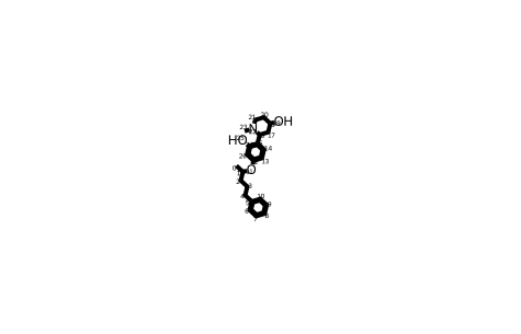 CC(CCCc1ccccc1)Oc1ccc(C2CC(O)CCN2C)c(O)c1